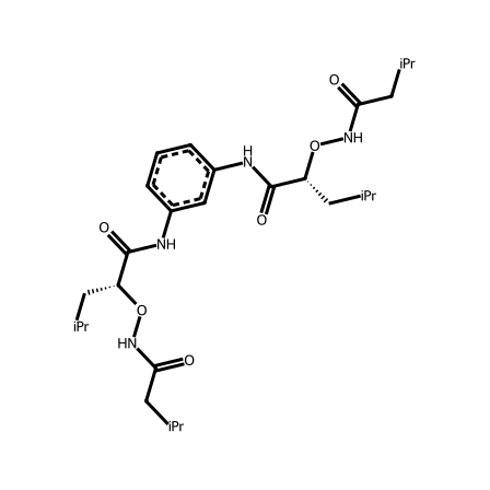 CC(C)CC(=O)NO[C@H](CC(C)C)C(=O)Nc1cccc(NC(=O)[C@@H](CC(C)C)ONC(=O)CC(C)C)c1